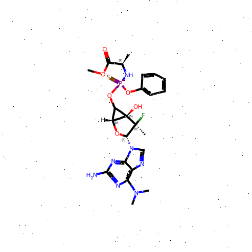 COC(=O)[C@@H](C)NP(=S)(Oc1ccccc1)OC1[C@H]2O[C@@H](n3cnc4c(N(C)C)nc(N)nc43)[C@](C)(F)[C@@]12O